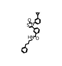 O=C(NCCCCc1ccccc1)c1cccc(-c2csc(=O)n2-c2cccc(C3CC3)c2)c1